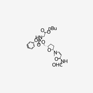 CCCCOC(=O)CNP(=O)(OC[C@@H]1CC[C@H](N(C)/C=C\C(=O)NC=O)O1)Oc1cc#ccc1